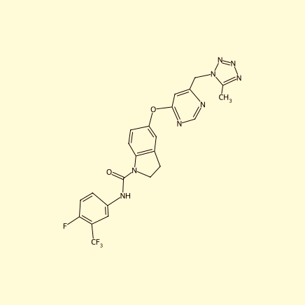 Cc1nnnn1Cc1cc(Oc2ccc3c(c2)CCN3C(=O)Nc2ccc(F)c(C(F)(F)F)c2)ncn1